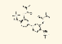 C=C(C)C(=O)Oc1cc(-c2ccc(NC(C)(C)C)c(OC(=O)C(=C)C)c2)ccc1NC(C)(C)C